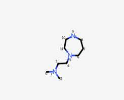 CN(C)CCN1CCC[N]CC1